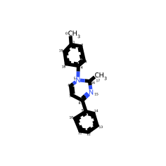 Cc1ccc(N2C=CC(c3ccccc3)=NC2C)cc1